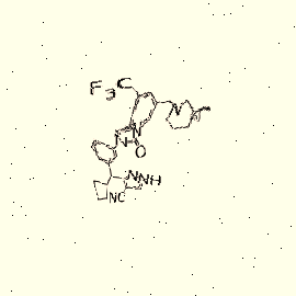 C[C@H]1CCCN(Cc2cc(C(F)(F)F)c3cn(-c4cccc(C(c5n[nH]cc5C#N)C5CCC5)c4)c(=O)n3c2)C1